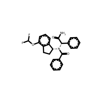 NC(=O)[C@H](c1ccccc1)N(C(=O)c1ccccc1)[C@@H]1CCc2c(OC(F)F)cccc21